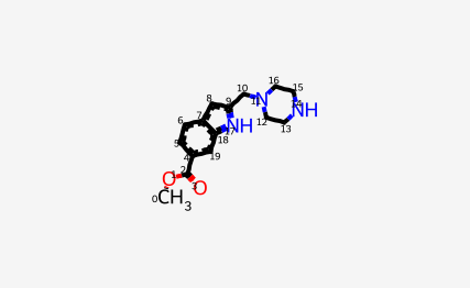 COC(=O)c1ccc2cc(CN3CCNCC3)[nH]c2c1